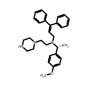 COc1ccc([C@@H](C)N(CC=C(c2ccccc2)c2ccccc2)CCN2CCNCC2)cc1